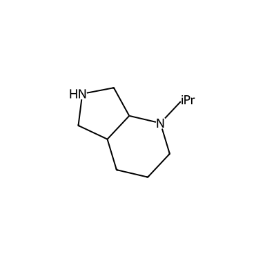 CC(C)N1CCCC2CNCC21